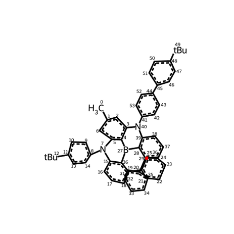 Cc1cc2c3c(c1)N(c1ccc(C(C)(C)C)cc1)c1cccc(-c4ccccc4)c1B3c1c(-c3ccccc3)cccc1N2c1ccc(-c2ccc(C(C)(C)C)cc2)cc1